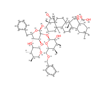 CC1[C@H](O[C@@H]2C(O[C@@H]3OC(COCc4ccccc4)[C@H](C)[C@H](C)C3O)[C@H](O[C@H]3CCC4(C)C5CC=C6C7CC(C)(C)CC[C@]7(C(=O)O)C(O)C[C@@]6(C)C5(C)CC[C@H]4[C@@]3(C)C=O)OC(Cc3ccccc3)[C@H]2O)OC[C@@H](C)[C@@H]1C